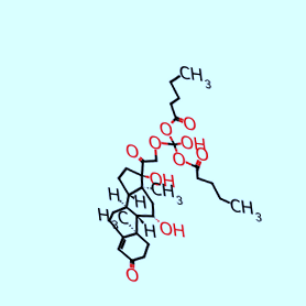 CCCCC(=O)OC(O)(OCC(=O)[C@@]1(O)CC[C@H]2[C@@H]3CCC4=CC(=O)CC[C@]4(C)[C@H]3[C@@H](O)C[C@@]21C)OC(=O)CCCC